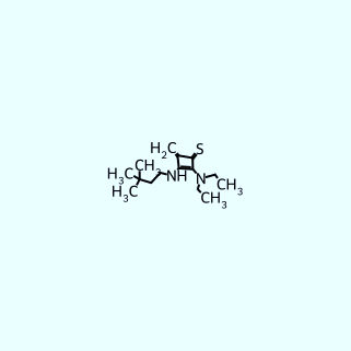 C=C1C(=S)C(N(CC)CC)=C1NCCC(C)(C)C